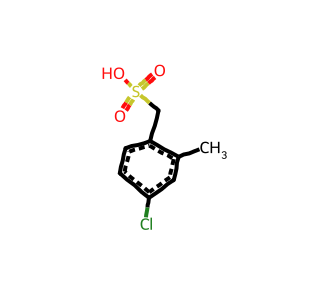 Cc1cc(Cl)ccc1CS(=O)(=O)O